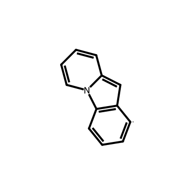 [c]1cccc2c1cc1ccccn12